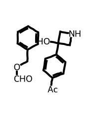 CC(=O)c1ccc(C2(O)CNC2)cc1.O=COCc1ccccc1